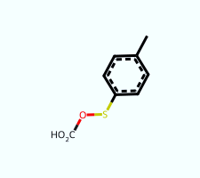 Cc1ccc(SOC(=O)O)cc1